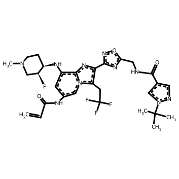 C=CC(=O)Nc1cc(N[C@@H]2CCN(C)C[C@@H]2F)c2nc(-c3noc(CNC(=O)c4cnn(C(C)(C)C)c4)n3)c(CC(F)(F)F)n2c1